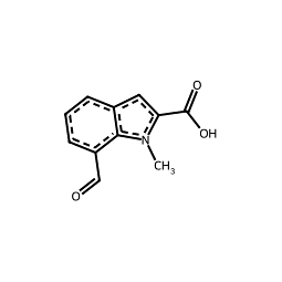 Cn1c(C(=O)O)cc2cccc(C=O)c21